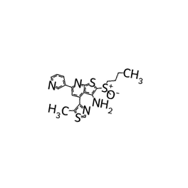 CCCC[S+]([O-])c1sc2nc(-c3cccnc3)cc(-c3ncsc3C)c2c1N